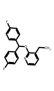 CCc1cccnc1OC(c1ccc(F)cc1)c1ccc(F)cc1